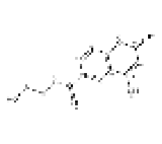 O=C(OCCO)c1ccc2oc(=O)cc(O)c2c1